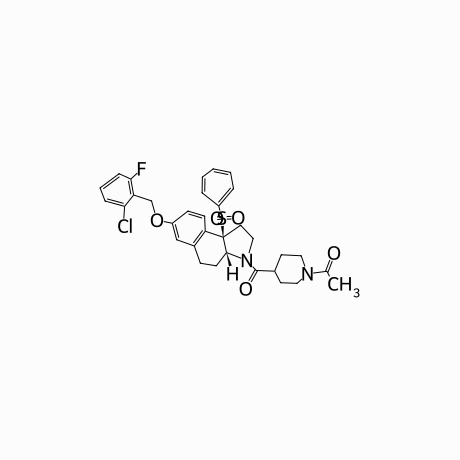 CC(=O)N1CCC(C(=O)N2CC[C@@]3(S(=O)(=O)c4ccccc4)c4ccc(OCc5c(F)cccc5Cl)cc4CC[C@@H]23)CC1